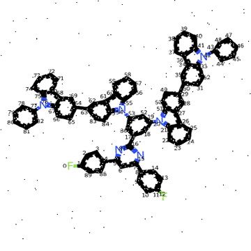 Fc1ccc(-c2cc(-c3ccc(F)cc3)nc(-c3cc(-n4c5ccccc5c5cc(-c6ccc7c(c6)c6ccccc6n7-c6ccccc6)ccc54)cc(-n4c5ccccc5c5cc(-c6ccc7c(c6)c6ccccc6n7-c6ccccc6)ccc54)c3)n2)cc1